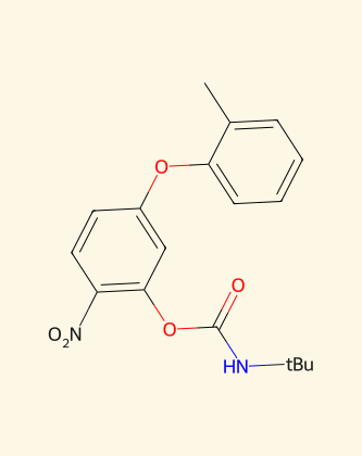 Cc1ccccc1Oc1ccc([N+](=O)[O-])c(OC(=O)NC(C)(C)C)c1